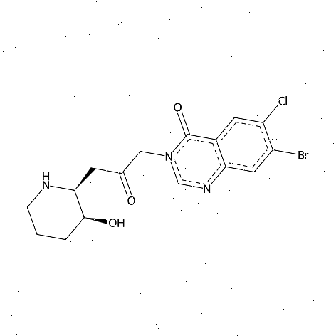 O=C(C[C@@H]1NCCC[C@@H]1O)Cn1cnc2cc(Br)c(Cl)cc2c1=O